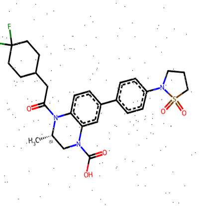 C[C@H]1CN(C(=O)O)c2cc(-c3ccc(N4CCCS4(=O)=O)cc3)ccc2N1C(=O)CC1CCC(F)(F)CC1